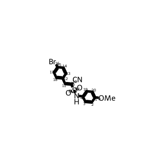 COc1ccc(NS(=O)(=O)C(C#N)=Cc2ccc(Br)cc2)cc1